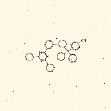 N#Cc1ccc2c(c1)-c1ccc(-c3cccc(-c4nc(-c5ccccc5)nc(-c5ccccc5)n4)c3)cc1C2(c1ccccc1)c1ccccc1